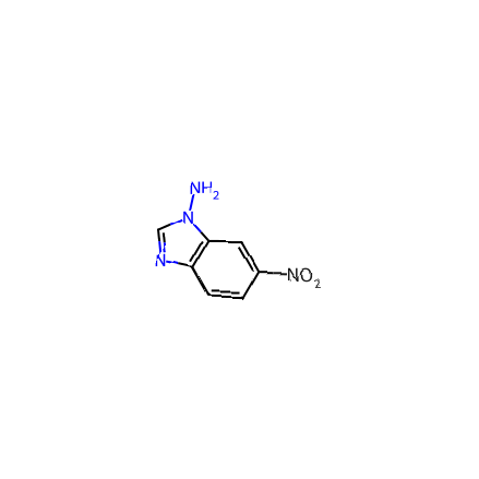 Nn1cnc2ccc([N+](=O)[O-])cc21